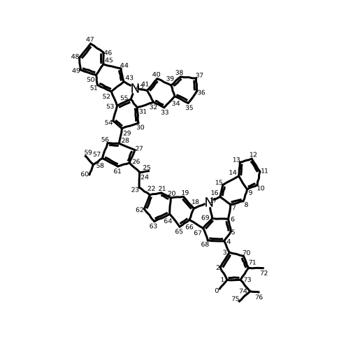 Cc1cc(-c2cc3c4cc5ccccc5cc4n4c5cc6cc(CC(C)c7cc(-c8cc9c%10cc%11ccccc%11cc%10n%10c%11cc%12ccccc%12cc%11c(c8)c9%10)cc(C(C)C)c7)ccc6cc5c(c2)c34)cc(C)c1C(C)C